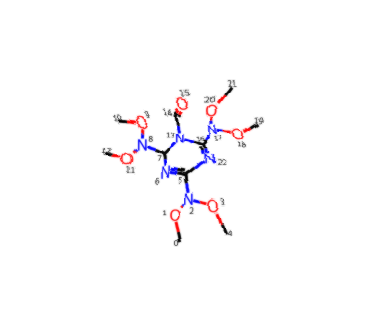 CON(OC)C1=NC(N(OC)OC)N(C=O)C(N(OC)OC)=N1